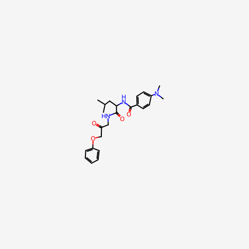 CC(C)CC(NC(=O)c1ccc(N(C)C)cc1)C(=O)NCC(=O)COc1ccccc1